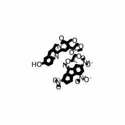 CC[C@@]1(OC(=O)[C@H](C)O/N=C2/c3cc([N+](=O)[O-])ccc3-c3c2cc([N+](=O)[O-])cc3[N+](=O)[O-])C(=O)OCc2c1cc1n(c2=O)Cc2cc3cc(O)ccc3nc2-1